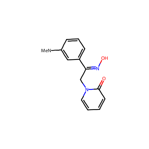 CNc1cccc(/C(Cn2ccccc2=O)=N\O)c1